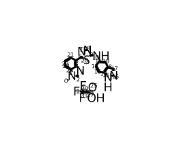 Cn1cnc2c(-c3nnc(Nc4ccc5[nH]ncc5c4)s3)cccc21.O=C(O)C(F)(F)F